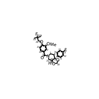 COc1cc(C(=O)N2CC[C@@]3(c4ccc(F)cc4)OCO[C@H]3C2)ccc1OCC(C)(C)F